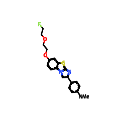 CNc1ccc(-c2cn3c(n2)sc2cc(OCCOCCF)ccc23)cc1